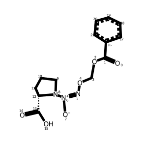 O=C(OCO/N=[N+](/[O-])N1CCC[C@H]1C(=O)O)c1ccccc1